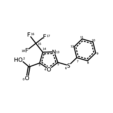 O=C(O)c1oc(Sc2ccccc2)nc1C(F)(F)F